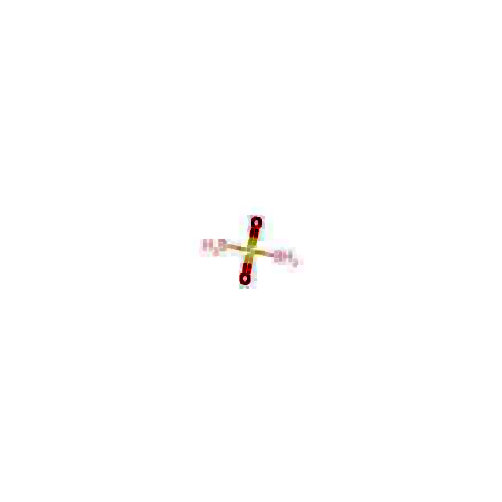 BS(B)(=O)=O